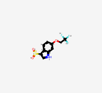 O=[SH](=O)c1c[nH]c2cc(OCC(F)(F)F)ccc12